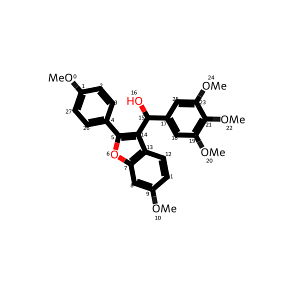 COc1ccc(-c2oc3cc(OC)ccc3c2C(O)c2cc(OC)c(OC)c(OC)c2)cc1